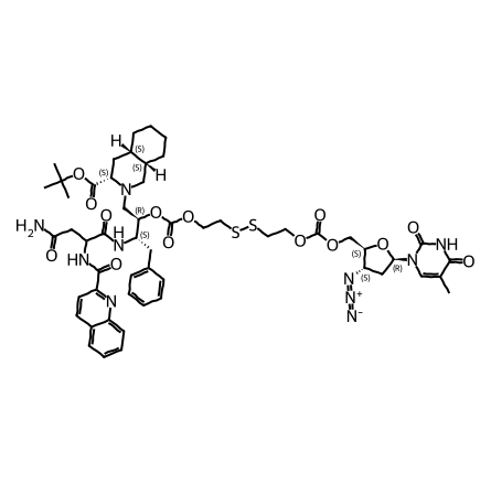 Cc1cn([C@H]2C[C@H](N=[N+]=[N-])[C@@H](COC(=O)OCCSSCCOC(=O)O[C@H](CN3C[C@H]4CCCC[C@H]4C[C@H]3C(=O)OC(C)(C)C)[C@H](Cc3ccccc3)NC(=O)C(CC(N)=O)NC(=O)c3ccc4ccccc4n3)O2)c(=O)[nH]c1=O